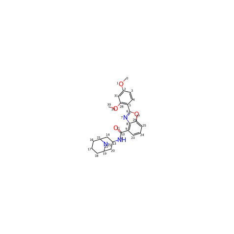 COc1ccc(-c2nc3c(C(=O)NC4CC5CCCC(C4)N5C)cccc3o2)c(OC)c1